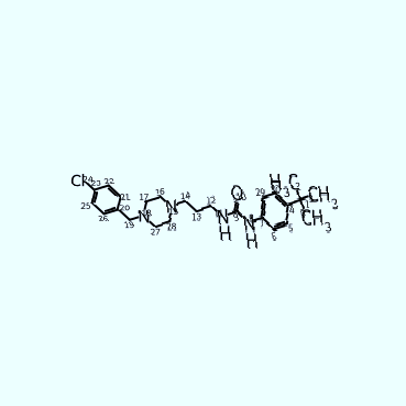 CC(C)(C)c1ccc(NC(=O)NCCCN2CCN(Cc3ccc(Cl)cc3)CC2)cc1